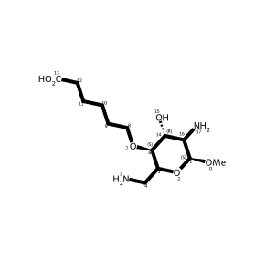 CO[C@H]1OC(CN)[C@@H](OCCCCCC(=O)O)[C@H](O)C1N